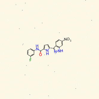 O=C(Nc1cccc(F)c1)c1ccc(-c2n[nH]c3cc([N+](=O)[O-])ccc23)[nH]1